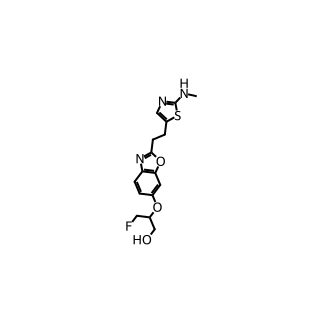 CNc1ncc(CCc2nc3ccc(OC(CO)CF)cc3o2)s1